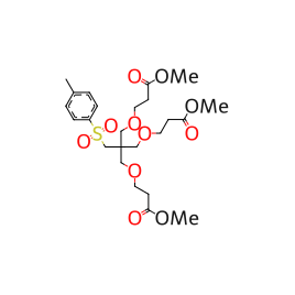 COC(=O)CCOCC(COCCC(=O)OC)(COCCC(=O)OC)CS(=O)(=O)c1ccc(C)cc1